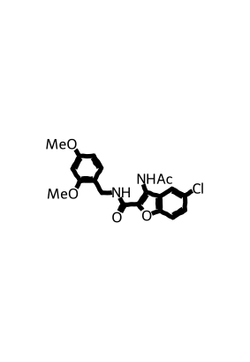 COc1ccc(CNC(=O)c2oc3ccc(Cl)cc3c2NC(C)=O)c(OC)c1